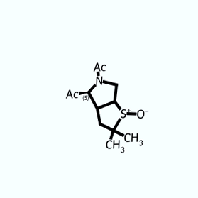 CC(=O)[C@@H]1C2CC(C)(C)[S+]([O-])C2CN1C(C)=O